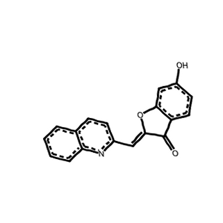 O=C1/C(=C/c2ccc3ccccc3n2)Oc2cc(O)ccc21